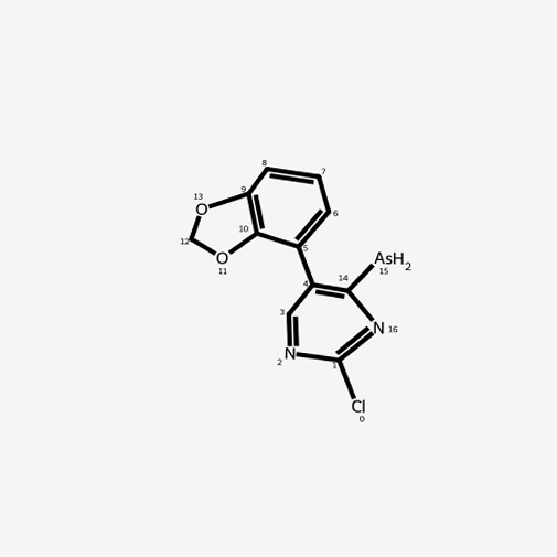 Clc1ncc(-c2cccc3c2OCO3)c([AsH2])n1